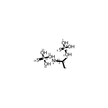 CC(C)C.N.OP(O)(O)=S.OP(O)(O)=S